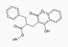 CCCOC(=O)C(Cc1ccccc1)Cc1c(O)c2ccccc2oc1=O